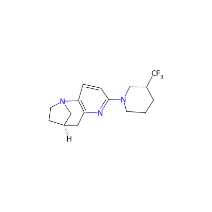 FC(F)(F)C1CCCN(c2ccc3c(n2)C[C@H]2CCN3C2)C1